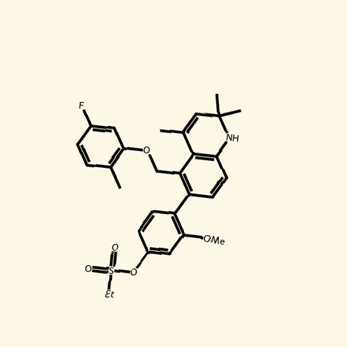 CCS(=O)(=O)Oc1ccc(-c2ccc3c(c2COc2cc(F)ccc2C)C(C)=CC(C)(C)N3)c(OC)c1